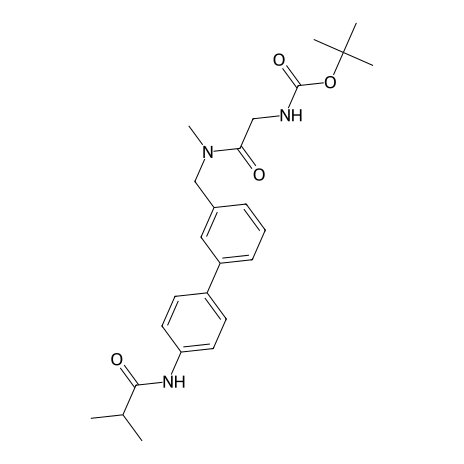 CC(C)C(=O)Nc1ccc(-c2cccc(CN(C)C(=O)CNC(=O)OC(C)(C)C)c2)cc1